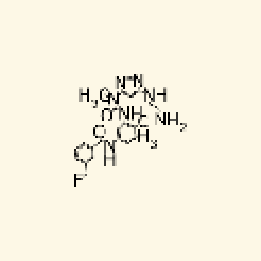 Cc1ccc(NC(=O)c2cccc(CF)c2)cc1NC(=O)N(C)c1cc(NCCN)ncn1